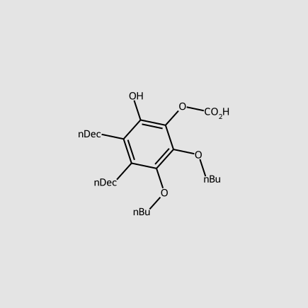 CCCCCCCCCCc1c(O)c(OC(=O)O)c(OCCCC)c(OCCCC)c1CCCCCCCCCC